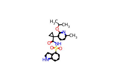 Cc1ccc(C2(C(=O)NS(=O)(=O)c3cccc4[nH]ccc34)CC2)c(OC(C)C)n1